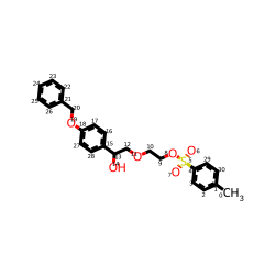 Cc1ccc(S(=O)(=O)OCCOCC(O)c2ccc(OCc3ccccc3)cc2)cc1